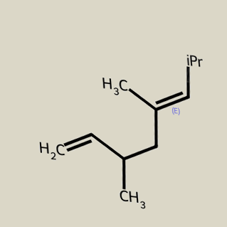 [CH2]C(C)/C=C(\C)CC(C)C=C